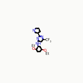 CCOc1ccc(OCC)c(Nc2cc(C(F)(F)F)nc(-c3cccnc3)n2)c1